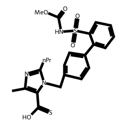 CCCc1nc(C)c(C(O)=S)n1Cc1ccc(-c2ccccc2S(=O)(=O)NC(=O)OC)cc1